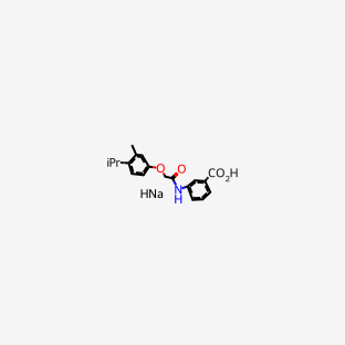 Cc1cc(OCC(=O)Nc2cccc(C(=O)O)c2)ccc1C(C)C.[NaH]